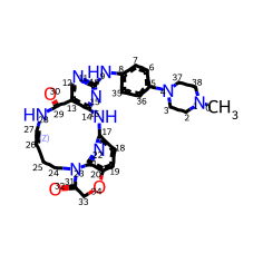 CN1CCN(c2ccc(Nc3ncc4c(n3)Nc3ccc5c(n3)N(CC/C=C\NC4=O)C(=O)CO5)cc2)CC1